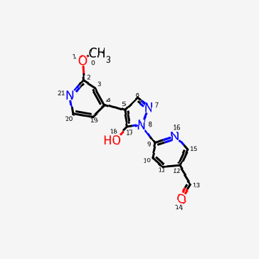 COc1cc(-c2cnn(-c3ccc(C=O)cn3)c2O)ccn1